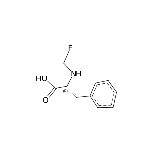 O=C(O)[C@@H](Cc1ccccc1)NCF